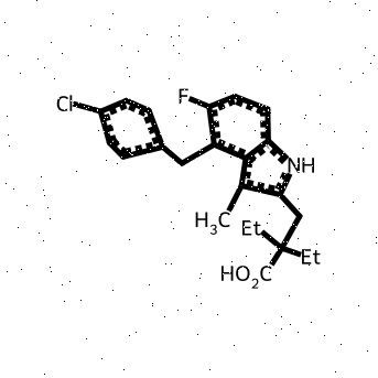 CCC(CC)(Cc1[nH]c2ccc(F)c(Cc3ccc(Cl)cc3)c2c1C)C(=O)O